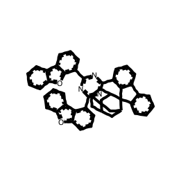 c1ccc2c(c1)-c1cccc(-c3nc(-c4cccc5c4oc4ccccc45)nc(-c4cccc5oc6ccccc6c45)n3)c1C21C2CC3CC(C2)CC1C3